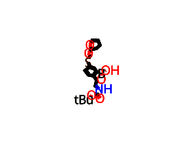 CC(C)(C)OC(=O)NCC1OB(O)c2cc(SCOC3CCCCO3)ccc21